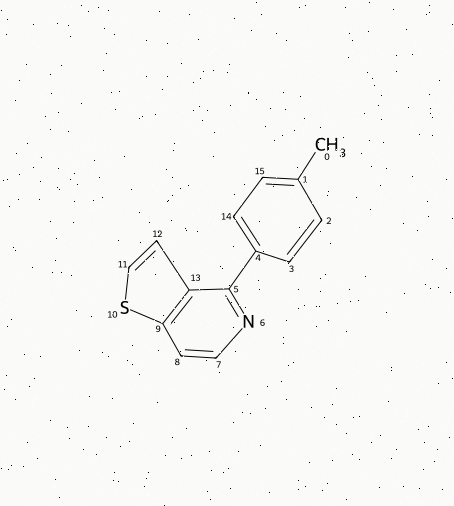 Cc1ccc(-c2nccc3sccc23)cc1